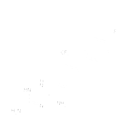 NC1=NC(N)(c2ccc(-c3ccc(F)cc3)c(C(F)(F)F)c2)NN1